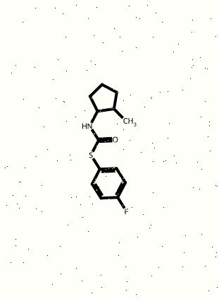 CC1CCCC1NC(=O)Sc1ccc(F)cc1